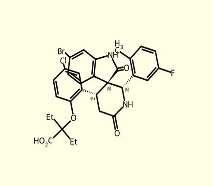 CCC(CC)(Oc1ccc(Cl)cc1[C@H]1CC(=O)N[C@@H](c2cc(F)ccc2C)[C@]12C(=O)Nc1cc(Br)ccc12)C(=O)O